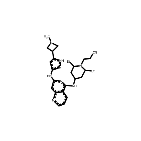 CCC1CC(Nc2nc(Nc3cc(C4CN(C)C4)[nH]n3)cc3ncccc23)CC(CC)N1CCC#N